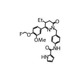 CCC1CC(=O)N(Cc2ccc(NC(=O)c3ccc[nH]3)cc2)N=C1c1ccc(OCF)c(OC)c1